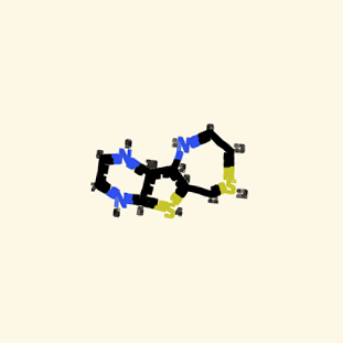 C1=Nc2c(sc3nccnc23)C=S=C1